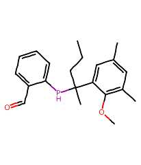 CCCC(C)(Pc1ccccc1C=O)c1cc(C)cc(C)c1OC